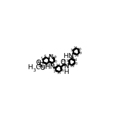 CS(=O)(=O)c1ccc2nccc(Nc3cccc(C(=O)Nc4cccc(Nc5ccccc5)c4)c3)c2c1